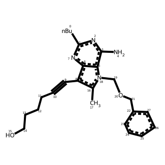 CCCCc1nc(N)c2c(n1)c(C#CCCCCO)c(C)n2COCc1ccccc1